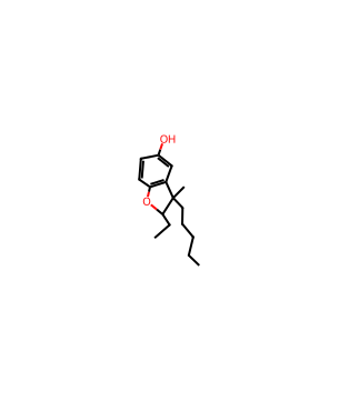 CCCCCC1(C)c2cc(O)ccc2OC1CC